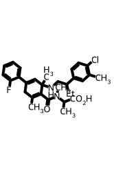 CCC(CNC1(C)C=C(c2ccccc2F)CC(C)=C1C(=O)N(C)C(C)C(=O)O)c1ccc(Cl)c(C)c1